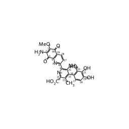 COC1=C(N)C(=O)c2nc(-c3nc(C(=O)O)c(C)c(-c4ccc(O)c(O)c4O)c3N)ccc2C1=O